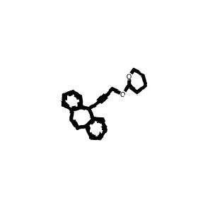 C(#CC1c2ccccc2C=Cc2ccccc21)COC1CCCCO1